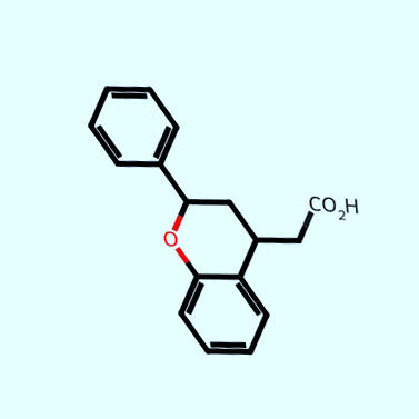 O=C(O)CC1CC(c2ccccc2)Oc2ccccc21